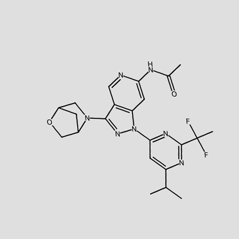 CC(=O)Nc1cc2c(cn1)c(N1CC3CC1CO3)nn2-c1cc(C(C)C)nc(C(C)(F)F)n1